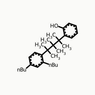 CCCCc1ccc(C(C)(C)C(C)(C)C(C)(C)c2ccccc2O)c(CCCC)c1